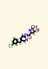 CN1N=C(C(=O)Nc2ccc(Cc3cccc(Cl)c3)cn2)CC1=O